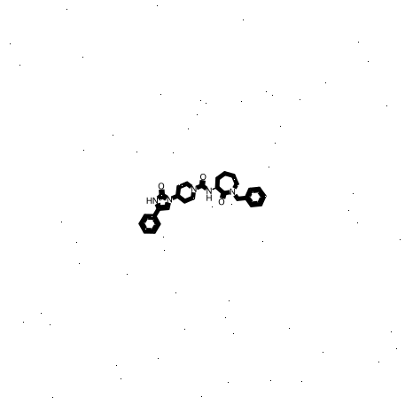 O=C(N[C@@H]1CCCCN(Cc2ccccc2)C1=O)N1CCC(n2cc(-c3ccccc3)[nH]c2=O)CC1